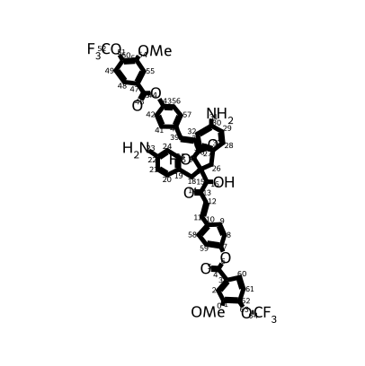 COc1cc(C(=O)Oc2ccc(/C=C/C(=O)C(O)C(Cc3ccc(N)cc3)(Cc3ccc(N)cc3)C(O)C(=O)/C=C/c3ccc(OC(=O)c4ccc(OC(F)(F)F)c(OC)c4)cc3)cc2)ccc1OC(F)(F)F